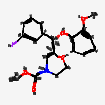 CCOc1ccccc1O[C@@H](c1cccc(I)c1)C1CN(C(=O)OC(C)(C)C)CCO1